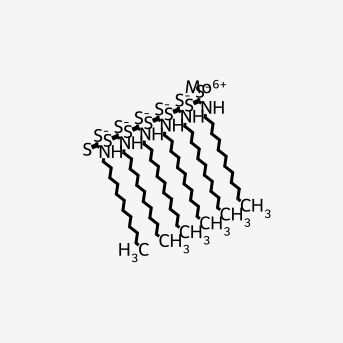 CCCCCCCCCCCCNC(=S)[S-].CCCCCCCCCCCCNC(=S)[S-].CCCCCCCCCCCCNC(=S)[S-].CCCCCCCCCCCCNC(=S)[S-].CCCCCCCCCCCCNC(=S)[S-].CCCCCCCCCCCCNC(=S)[S-].[Mo+6]